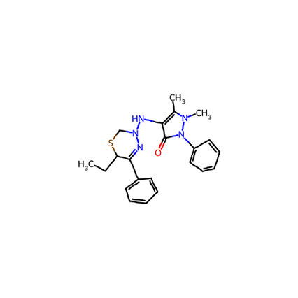 CCC1SCN(Nc2c(C)n(C)n(-c3ccccc3)c2=O)N=C1c1ccccc1